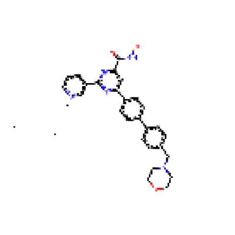 O=C(NO)c1cc(-c2ccc(-c3ccc(CN4CCOCC4)cc3)cc2)nc(-c2cccnc2)n1